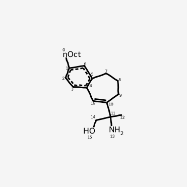 CCCCCCCCc1ccc2c(c1)CCCC(C(C)(N)CO)=C2